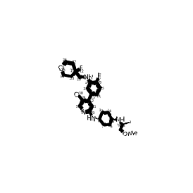 COC[C@H](C)N[C@H]1CC[C@H](Nc2cc(-c3ccc(F)c(NCC4(F)CCOCC4)c3)c(Cl)cn2)CC1